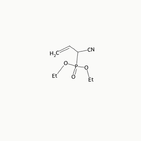 C=CC(C#N)P(=O)(OCC)OCC